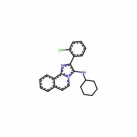 Clc1ccccc1-c1nc2c3ccccc3ccn2c1NC1CCCCC1